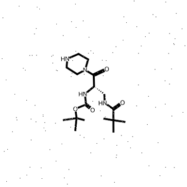 CC(C)(C)OC(=O)N[C@@H](CNC(=O)C(C)(C)C)C(=O)N1CCNCC1